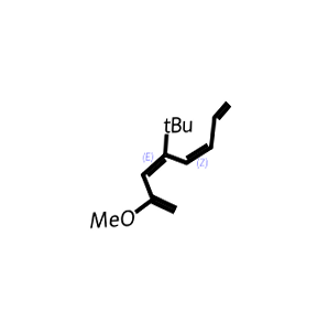 C=C/C=C\C(=C/C(=C)OC)C(C)(C)C